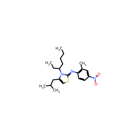 CCCCC(CC)n1c(CC(C)C)csc1=Nc1ccc([N+](=O)[O-])cc1C